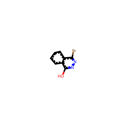 Oc1nnc(Br)c2ccccc12